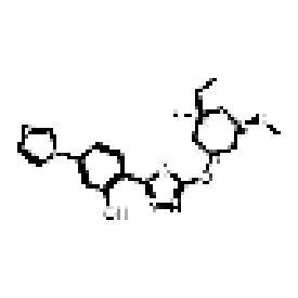 CC[C@@]1(C)C[C@@H](OC)C[C@@H](Oc2nnc(-c3ccc(-n4ccnc4)cc3O)s2)C1